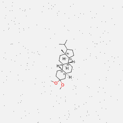 COC1(OC)CC[C@H]2[C@@H](CC[C@@H]3[C@@H]2CC[C@]2(C)C(C(C)C)CC[C@@H]32)C1